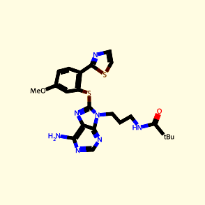 COc1ccc(-c2nccs2)c(Sc2nc3c(N)ncnc3n2CCCNC(=O)C(C)(C)C)c1